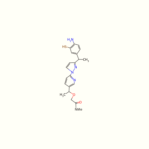 CNC(=O)COC(C)c1ccc(-n2ccc(C(C)c3ccc(N)c(S)c3)n2)nc1